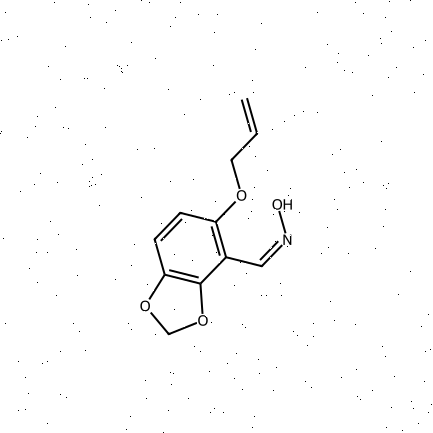 C=CCOc1ccc2c(c1/C=N\O)OCO2